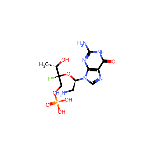 C[C@H](O)[C@@](F)(COP(=O)(O)O)O[C@H](CN)n1cnc2c(=O)[nH]c(N)nc21